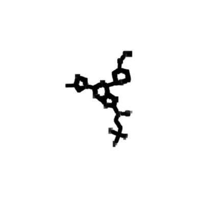 Cc1cn(-c2nc(-c3cccc(OO)c3)c3nc([S+]([O-])CCC(F)(F)F)sc3n2)cn1